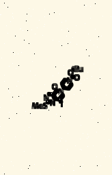 CSc1ncc2c(=O)n(C3CCN(C(=O)OC(C)(C)C)CC3)cc(I)c2n1